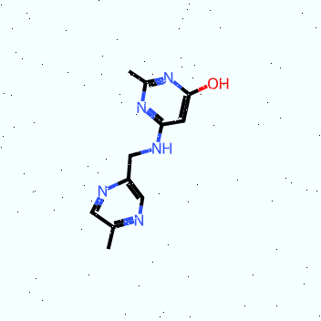 Cc1cnc(CNc2cc(O)nc(C)n2)cn1